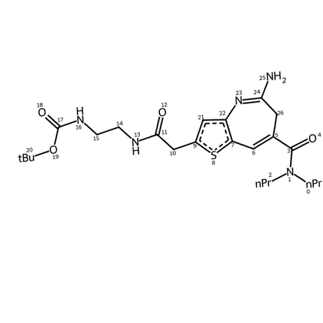 CCCN(CCC)C(=O)C1=Cc2sc(CC(=O)NCCNC(=O)OC(C)(C)C)cc2N=C(N)C1